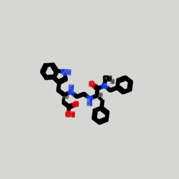 CN(Cc1ccccc1)C(=O)[C@H](Cc1ccccc1)NCCN[C@H](CC(=O)O)Cc1c[nH]c2ccccc12